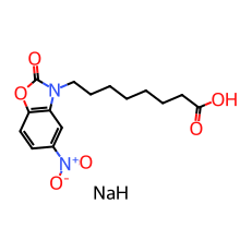 O=C(O)CCCCCCCn1c(=O)oc2ccc([N+](=O)[O-])cc21.[NaH]